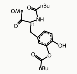 CCCCC(=O)N[C@@H](Cc1ccc(O)c(OC(=O)CCCC)c1)C(=O)OC